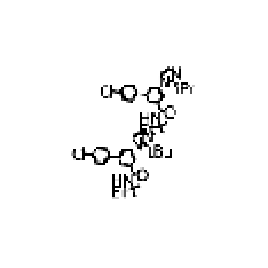 CCC(C)(C)NC(=O)c1cc(-c2ccc(Cl)cc2)cc(-n2ccnc2C(C)(C)C)c1.CCC(C)(C)NC(=O)c1cc(-c2ccc(Cl)cc2)cc(-n2ccnc2C(C)C)c1